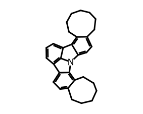 c1cc2c3ccc4c(c3n3c5ccc6c(c5c(c1)c23)CCCCCCC6)CCCCCC4